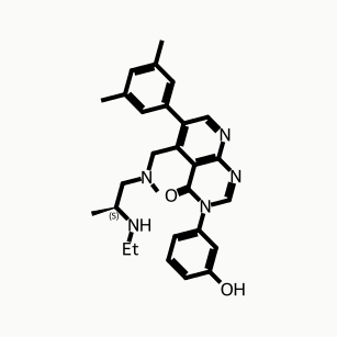 CCN[C@@H](C)CN(C)Cc1c(-c2cc(C)cc(C)c2)cnc2ncn(-c3cccc(O)c3)c(=O)c12